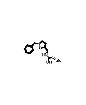 CC(C)(C)OC(O)NCC1CCN(Cc2ccccc2)O1